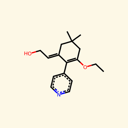 CCOC1=C(c2ccncc2)/C(=C/CO)CC(C)(C)C1